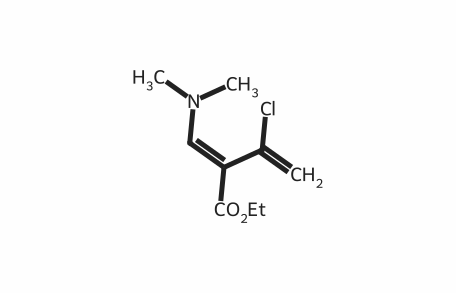 C=C(Cl)/C(=C\N(C)C)C(=O)OCC